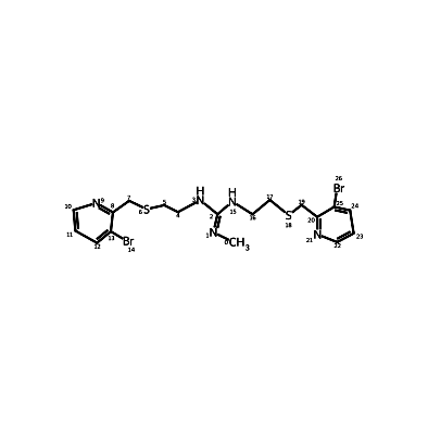 CN=C(NCCSCc1ncccc1Br)NCCSCc1ncccc1Br